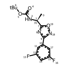 C[C@H](NC(=O)OC(C)(C)C)c1nc(-c2cc(F)cc(F)c2)no1